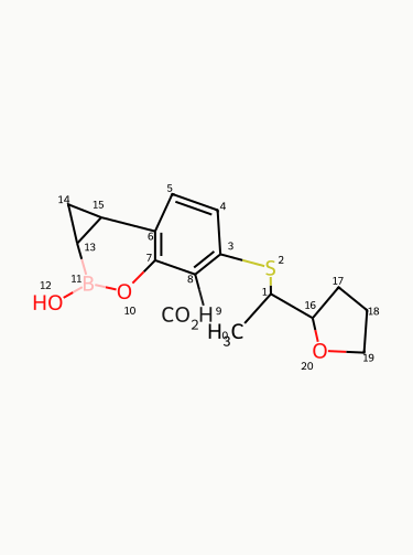 CC(Sc1ccc2c(c1C(=O)O)OB(O)C1CC21)C1CCCO1